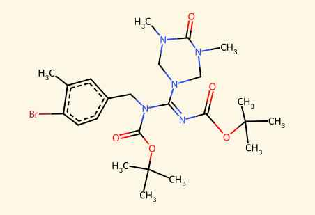 Cc1cc(CN(C(=O)OC(C)(C)C)/C(=N/C(=O)OC(C)(C)C)N2CN(C)C(=O)N(C)C2)ccc1Br